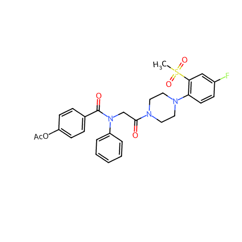 CC(=O)Oc1ccc(C(=O)N(CC(=O)N2CCN(c3ccc(F)cc3S(C)(=O)=O)CC2)c2ccccc2)cc1